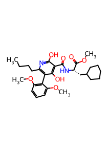 CCCCc1nc(O)c(C(=O)N[C@@H](CC2CCCCC2)C(=O)OC)c(O)c1-c1c(OC)cccc1OC